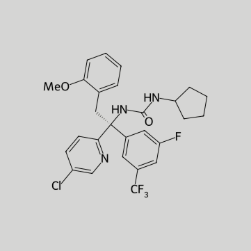 COc1ccccc1C[C@](NC(=O)NC1CCCC1)(c1cc(F)cc(C(F)(F)F)c1)c1ccc(Cl)cn1